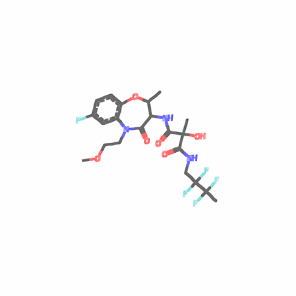 COCCN1C(=O)C(NC(=O)C(C)(O)C(=O)NCC(F)(F)C(C)(F)F)C(C)Oc2ccc(F)cc21